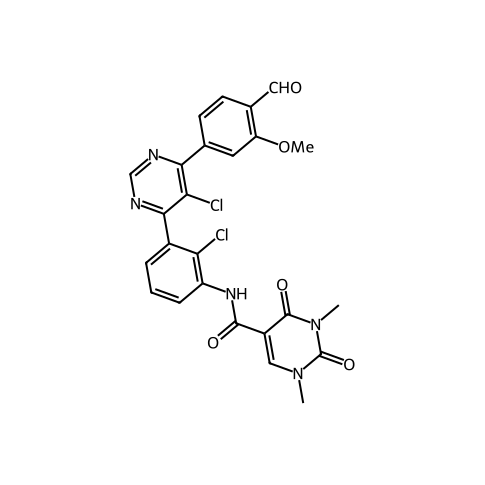 COc1cc(-c2ncnc(-c3cccc(NC(=O)c4cn(C)c(=O)n(C)c4=O)c3Cl)c2Cl)ccc1C=O